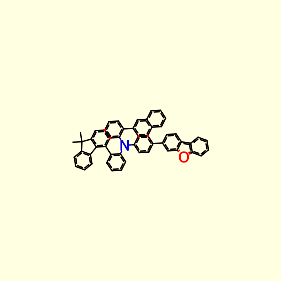 CC1(C)c2ccccc2-c2c(-c3ccccc3N(c3ccc(-c4ccc5c(c4)oc4ccccc45)cc3)c3ccccc3-c3ccc4ccccc4c3)cccc21